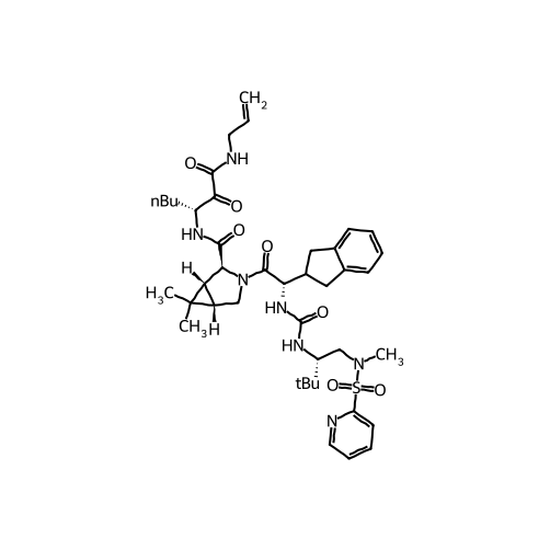 C=CCNC(=O)C(=O)[C@@H](CCCC)NC(=O)[C@@H]1[C@@H]2[C@H](CN1C(=O)[C@@H](NC(=O)N[C@H](CN(C)S(=O)(=O)c1ccccn1)C(C)(C)C)C1Cc3ccccc3C1)C2(C)C